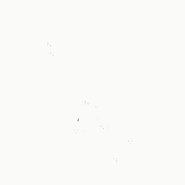 CO[C@@]1(NC(=O)C(C#N)SC)C(=O)N2C(C(=O)O)=C(CSc3nnc(C)s3)CS[C@H]21